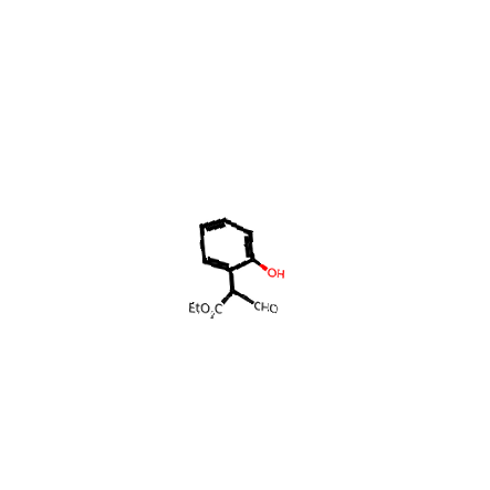 CCOC(=O)C(C=O)c1ccccc1O